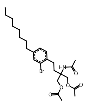 CCCCCCCCc1ccc(CCC(COC(C)=O)(COC(C)=O)NC(C)=O)c(Br)c1